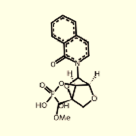 COC[C@@]12CO[C@H](C(n3ccc4ccccc4c3=O)O1)[C@@H]2OP(=O)(O)O